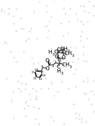 CC(C)(CCC(=O)OCc1ccccc1)B1OC(C)(C)C(C)(C)O1